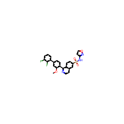 COc1cc(-c2cccc(F)c2F)ccc1-c1nccc2cc(S(=O)(=O)Nc3ccon3)ccc12